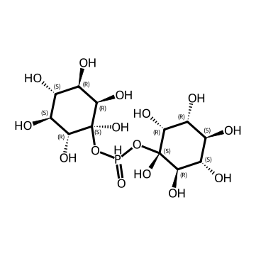 O=[PH](O[C@]1(O)[C@H](O)[C@H](O)[C@@H](O)[C@H](O)[C@H]1O)O[C@]1(O)[C@H](O)[C@H](O)[C@@H](O)[C@H](O)[C@H]1O